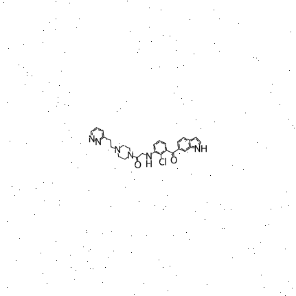 O=C(c1ccc2cc[nH]c2c1)c1cccc(NCC(=O)N2CCN(CCc3cccnn3)CC2)c1Cl